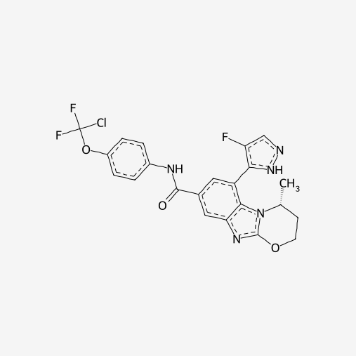 C[C@@H]1CCOc2nc3cc(C(=O)Nc4ccc(OC(F)(F)Cl)cc4)cc(-c4[nH]ncc4F)c3n21